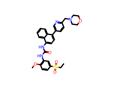 CCS(=O)(=O)c1ccc(OC)c(NC(=O)Nc2ccc(-c3ccc(CN4CCOCC4)nc3)c3ccccc23)c1